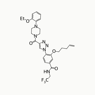 C=CCCCOc1cc(C(=O)NCC(F)(F)F)ccc1-n1cc(C(=O)N2CCN(c3ccccc3OCC)CC2)nn1